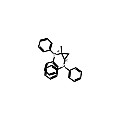 C[C@@]1(P(c2ccccc2)c2ccccc2)C[C@H]1P(c1ccccc1)c1ccccc1